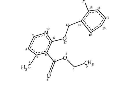 CCOC(=O)c1c(C)ccnc1OCc1ccccc1F